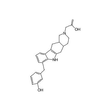 C=C(O)CN1CCC2Cc3[nH]c4c(Cc5cccc(O)c5)cccc4c3CC2C1